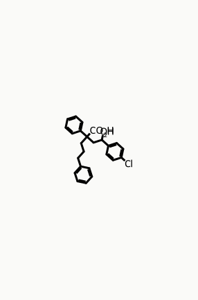 O=C(O)C(CCCc1ccccc1)(CC(O)c1ccc(Cl)cc1)c1ccccc1